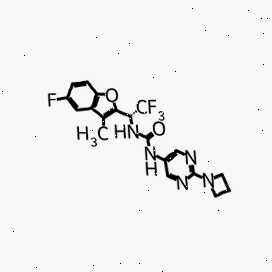 Cc1c([C@@H](NC(=O)Nc2cnc(N3CCC3)nc2)C(F)(F)F)oc2ccc(F)cc12